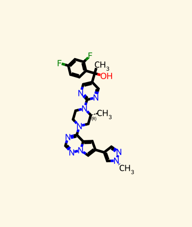 C[C@@H]1CN(c2ncnn3cc(-c4cnn(C)c4)cc23)CCN1c1ncc(C(C)(O)c2ccc(F)cc2F)cn1